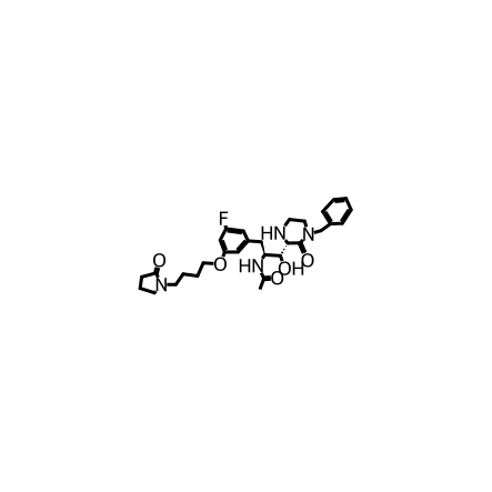 CC(=O)N[C@@H](Cc1cc(F)cc(OCCCCN2CCCC2=O)c1)C(O)[C@@H]1NCCN(Cc2ccccc2)C1=O